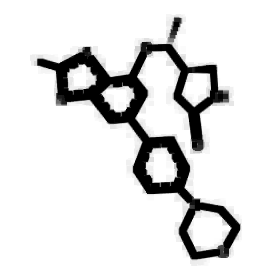 Cc1nc2cc(-c3ccc(N4CCOCC4)cc3)cc(O[C@H](C)[C@H]3CNC(=O)C3)c2s1